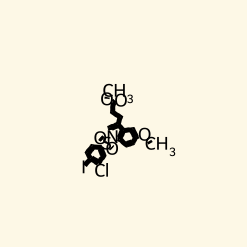 COC(=O)CCc1cn(S(=O)(=O)c2ccc(I)c(Cl)c2)c2ccc(OC)cc12